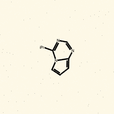 CC(C)c1ncnc2cccn12